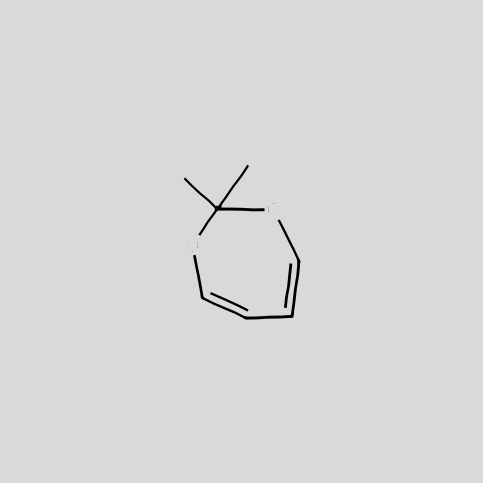 CC1(C)OC=CC=CO1